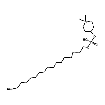 C#CCCCCCCCCCCCCCCCCOP(=O)(O)OC1CC[N+](C)(C)CC1